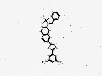 CC(C)(O)N(Cc1ccccc1)[C@H]1CCc2ccc(-c3nnc(-c4cc(C(F)(F)F)cc(C(F)(F)F)c4)o3)cc2C1